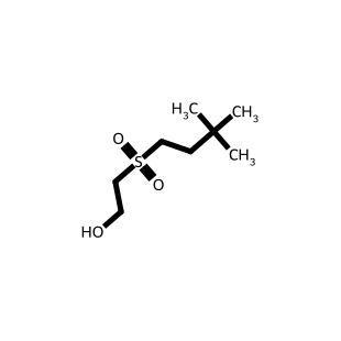 CC(C)(C)CCS(=O)(=O)CCO